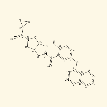 O=C(c1cc(Cc2nncc3ccccc23)ccc1F)N1CC2CN(C(=O)C3CC3)CC2C1